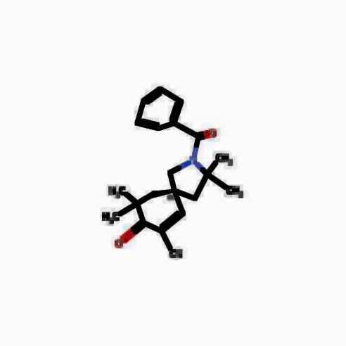 CC1(C)C[C@@]2(C=C(C#N)C1=O)CN(C(=O)c1ccccc1)C(C)(C)C2